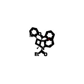 CCC(=O)N1c2ccccc2[C@]2(C(=O)c3ccccc3)[C@@H](c3ccccn3)C[C@]12C